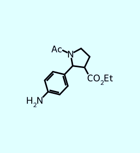 CCOC(=O)C1CCN(C(C)=O)C1c1ccc(N)cc1